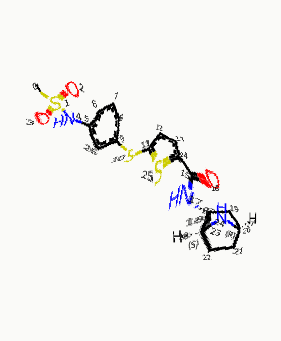 CS(=O)(=O)Nc1cccc(Sc2ccc(C(=O)N[C@@H]3C[C@H]4CC[C@@H]3N4)s2)c1